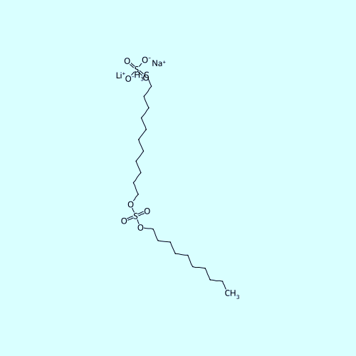 CCCCCCCCCCCCOS(=O)(=O)OCCCCCCCCCC.O=S(=O)([O-])[O-].[Li+].[Na+]